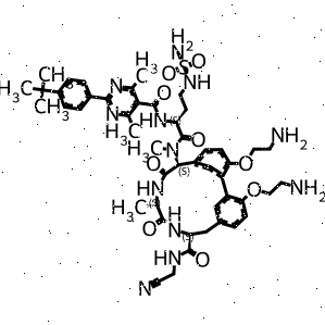 Cc1nc(-c2ccc(C(C)(C)C)cc2)nc(C)c1C(=O)N[C@@H](CCNS(N)(=O)=O)C(=O)N(C)[C@@H]1C(=O)N[C@@H](C)C(=O)N[C@H](C(=O)NCC#N)Cc2ccc(OCCN)c(c2)-c2cc1ccc2OCCN